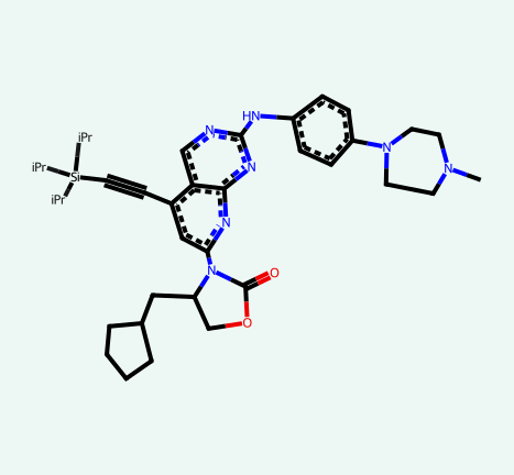 CC(C)[Si](C#Cc1cc(N2C(=O)OCC2CC2CCCC2)nc2nc(Nc3ccc(N4CCN(C)CC4)cc3)ncc12)(C(C)C)C(C)C